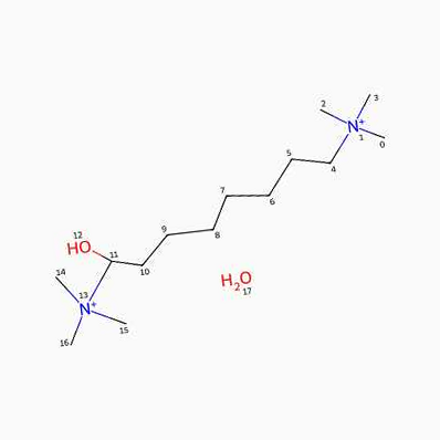 C[N+](C)(C)CCCCCCCC(O)[N+](C)(C)C.O